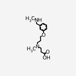 CNCc1cccc(OCCCN(C)CCC(=O)O)c1